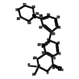 CC1(C)CC(=O)c2ccc(-c3cccc(N4CCCCC4)c3)nc2C1